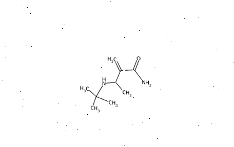 C=C(C(N)=O)C(C)NC(C)(C)C